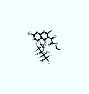 CCOC(=O)C(=O)c1c(C)cc2cc(Br)ccc2c1OS(=O)(=O)C(F)(F)C(F)(F)C(F)(F)C(F)(F)F